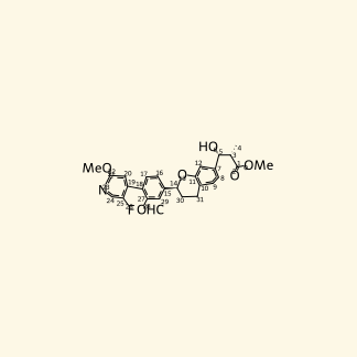 COC(=O)[C@@H](C)[C@@H](O)c1ccc2c(c1)O[C@H](c1ccc(-c3cc(OC)ncc3F)c(C=O)c1)CC2